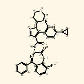 O=C(N[C@H]1N=C(c2ccccc2)c2cccc(F)c2NC1=O)c1cnn(C2CCOCC2)c1-c1ccc(C2CC2)nc1F